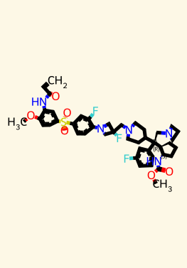 C=CC(=O)Nc1cc(S(=O)(=O)c2ccc(N3CC(F)(CN4CCC([C@@](CN5CCC5)(c5cccc(F)c5)[C@H]5CCC[C@@H]5NC(=O)OC)CC4)C3)c(F)c2)ccc1OC